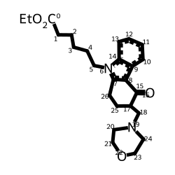 CCOC(=O)CCCCCn1c2c(c3ccccc31)C(=O)C(CN1CCOCC1)CC2